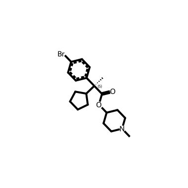 CN1CCC(OC(=O)[C@](C)(c2ccc(Br)cc2)C2CCCC2)CC1